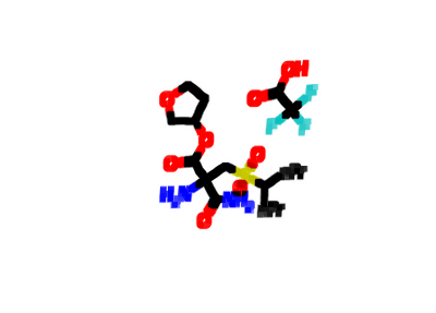 CCCC(CCC)S(=O)(=O)CC(N)(C(N)=O)C(=O)O[C@@H]1CCOC1.O=C(O)C(F)(F)F